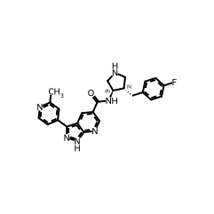 Cc1cc(-c2n[nH]c3ncc(C(=O)N[C@H]4CNC[C@@H]4Cc4ccc(F)cc4)cc23)ccn1